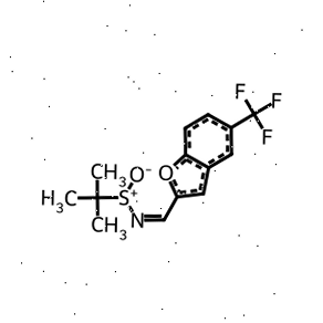 CC(C)(C)[S+]([O-])/N=C\c1cc2cc(C(F)(F)F)ccc2o1